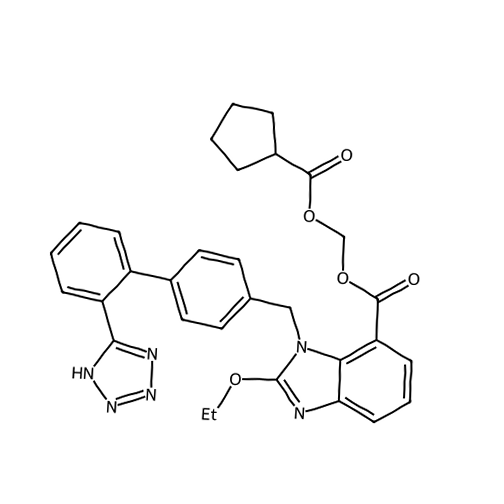 CCOc1nc2cccc(C(=O)OCOC(=O)C3CCCC3)c2n1Cc1ccc(-c2ccccc2-c2nnn[nH]2)cc1